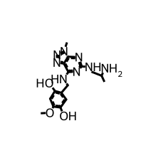 COc1cc(O)c(CNc2nc(NCC(C)N)nc3c2nnn3C)cc1O